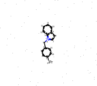 CC(C)c1ccc(Cn2c[c]c3ccccc32)cc1